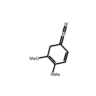 CNC1=C(OC)CC(=[N+]=[N-])C=C1